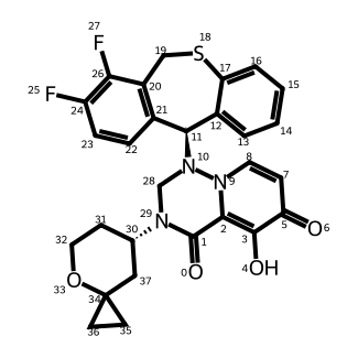 O=C1c2c(O)c(=O)ccn2N([C@@H]2c3ccccc3SCc3c2ccc(F)c3F)CN1[C@H]1CCOC2(CC2)C1